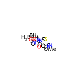 BC(B)(B)OCC1(C)CCCN1C(=O)c1nn(-c2ccsc2)c2c1COc1cc(OC)c(-c3ccn(C)n3)cc1-2